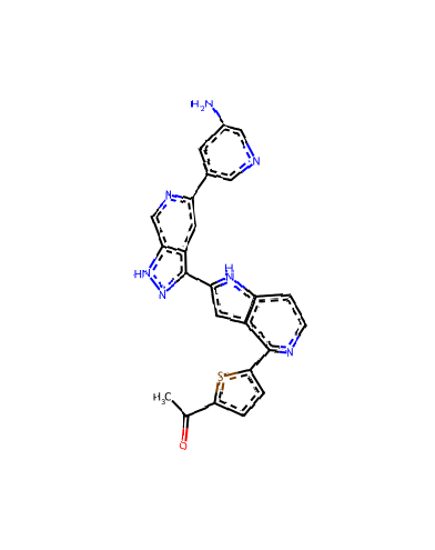 CC(=O)c1ccc(-c2nccc3[nH]c(-c4n[nH]c5cnc(-c6cncc(N)c6)cc45)cc23)s1